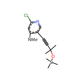 CNc1cc(Cl)ncc1C#CC(C)(C)O[Si](C)(C)C